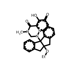 CCOC12Cc3ccccc3C1(N1CN(C)C(=O)c3c(O)c(=O)ccn31)c1ccccc1C2